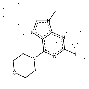 Cn1cnc2c(N3CCOCC3)nc(I)nc21